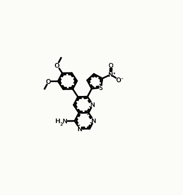 COc1ccc(-c2cc3c(N)ncnc3nc2-c2ccc([N+](=O)[O-])s2)cc1OC